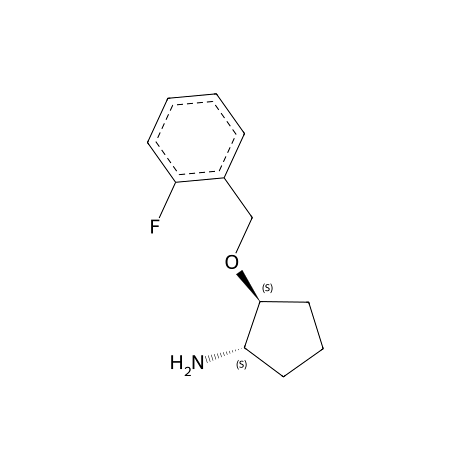 N[C@H]1CCC[C@@H]1OCc1ccccc1F